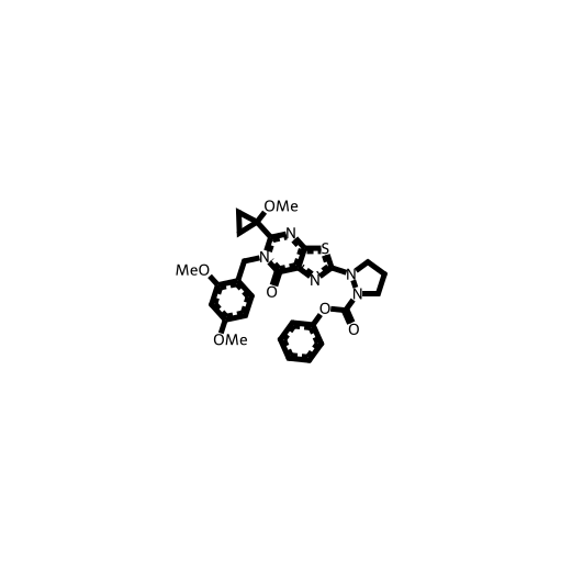 COc1ccc(Cn2c(C3(OC)CC3)nc3sc(N4CCCN4C(=O)Oc4ccccc4)nc3c2=O)c(OC)c1